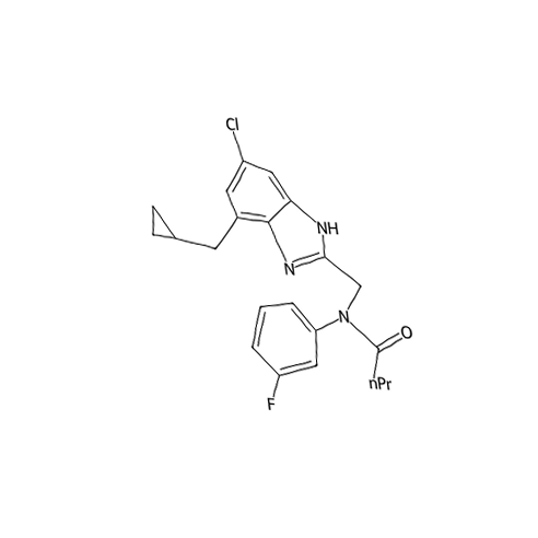 CCCC(=O)N(Cc1nc2c(CC3CC3)cc(Cl)cc2[nH]1)c1cccc(F)c1